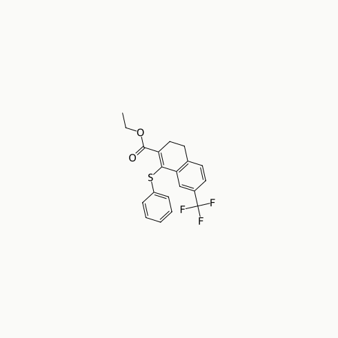 CCOC(=O)C1=C(Sc2ccccc2)c2cc(C(F)(F)F)ccc2CC1